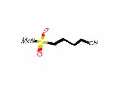 CNS(=O)(=O)CCCCC#N